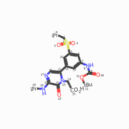 CC(C)CS(=O)(=O)c1cc(NC(=O)OC(C)(C)C)cc(-c2cnc(NC(C)C)c(=O)n2CC(=O)O)c1